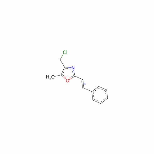 Cc1oc(/C=C/c2ccccc2)nc1CCl